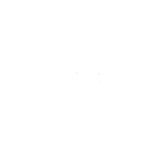 COc1ccc(CNC(=O)C2CCC(=O)NC2)cc1